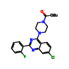 CC(C)COC(=O)N1CCN(c2nc(-c3ccccc3F)nc3cc(Cl)ccc23)CC1